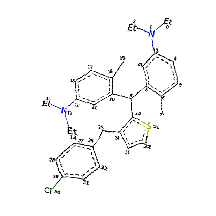 CCN(CC)c1ccc(C)c(C(c2cc(N(CC)CC)ccc2C)c2sccc2Cc2ccc(Cl)cc2)c1